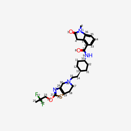 CN1C(=O)Cc2c(C(=O)N[C@H]3CC[C@H](CCN4CCc5sc(OCC(C)(F)F)nc5C4)CC3)cccc21